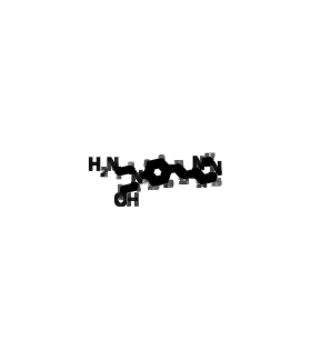 NCCN(CCO)c1ccc(/C=C/c2ccncn2)cc1